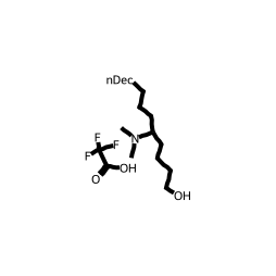 CCCCCCCCCCCCCC(CCCCO)N(C)C.O=C(O)C(F)(F)F